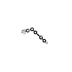 CC1(O)CCN(C2C=C(c3ccc(C#Cc4ccc(-c5ccc(Cl)cc5)cn4)cc3)CCC2)CC1